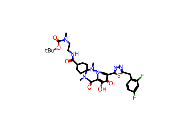 CN(CCNC(=O)C1CCC2(CC1)N(C)C(=O)c1c(O)c(=O)c(-c3nnc(Cc4ccc(F)cc4F)s3)cn1N2C)C(=O)OC(C)(C)C